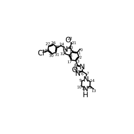 Cc1cc(-c2nc(CN3CCNC(C)C3)no2)cc2c1C(C=O)N(Cc1ccc(Cl)cc1)C2